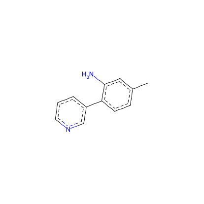 Cc1ccc(-c2cccnc2)c(N)c1